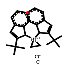 CC(C)(C)C1=Cc2ccccc2[CH]1[Hf+2]1([CH]2C(C(C)(C)C)=Cc3ccccc32)[CH2][CH2]1.[Cl-].[Cl-]